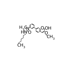 CCCCCCCNC(=O)N(C)c1cccc(-c2ccc(/C=C(/OCC)C(=O)O)cc2)c1